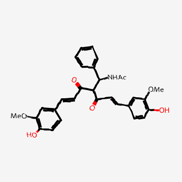 COc1cc(/C=C/C(=O)C(C(=O)/C=C/c2ccc(O)c(OC)c2)C(NC(C)=O)c2ccccc2)ccc1O